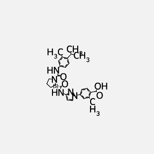 Cc1cc(-n2ccc(NC(=O)[C@@H]3CCCN3C(=O)Nc3ccc(C(C)C)c(C)c3)n2)ccc1C(=O)O